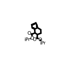 CC(C)OC(=O)C1CCc2ccccc2C1C(=O)OC(C)C